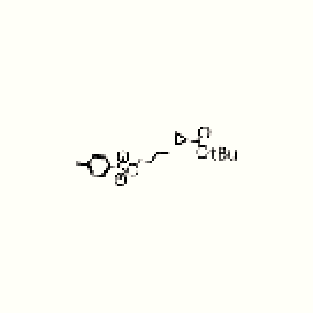 Cc1ccc(S(=O)(=O)OCCCC[C@@H]2C[C@H]2C(=O)OC(C)(C)C)cc1